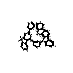 C[Si]1(C)c2ccccc2-c2c(-c3cccc(-n4c5ccccc5c5ccc6c7ccccc7sc6c54)c3)nc(-c3ccccc3)nc21